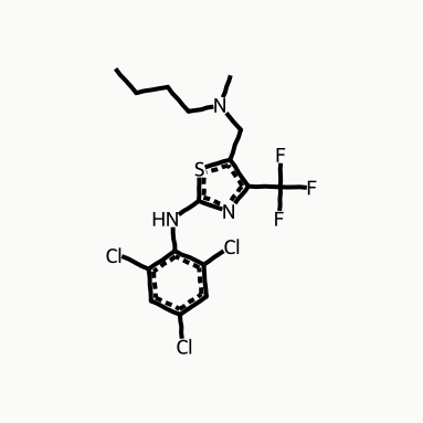 CCCCN(C)Cc1sc(Nc2c(Cl)cc(Cl)cc2Cl)nc1C(F)(F)F